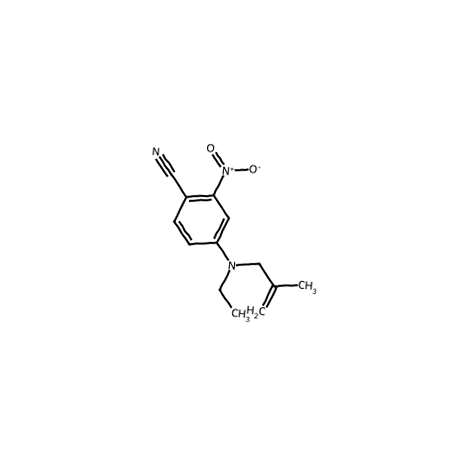 C=C(C)CN(CC)c1ccc(C#N)c([N+](=O)[O-])c1